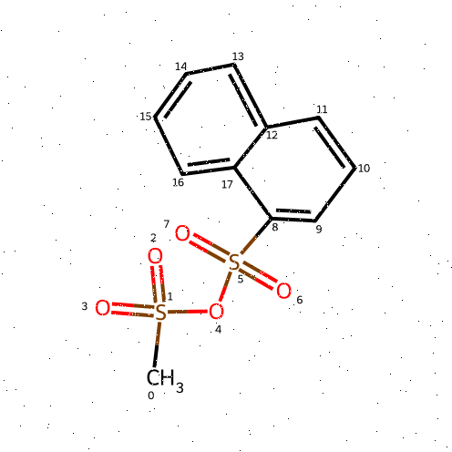 CS(=O)(=O)OS(=O)(=O)c1cccc2ccccc12